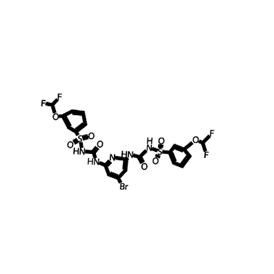 O=C(Nc1cc(Br)cc(NC(=O)NS(=O)(=O)c2cccc(OC(F)F)c2)n1)NS(=O)(=O)c1cccc(OC(F)F)c1